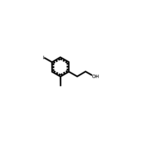 Cc1cc(I)ccc1CCO